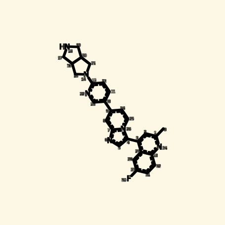 Cc1cc(-c2cnc3cc(-c4ccc(N5CC6CNCC6C5)nc4)ccn23)c2cc(F)ccc2n1